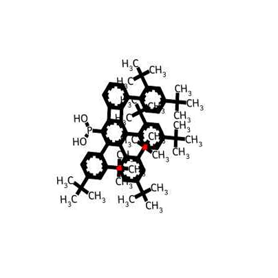 CC(C)(C)c1ccc(-c2cccc3c2-c2c(-c4ccc(C(C)(C)C)cc4C(C)(C)C)c(-c4ccc(C(C)(C)C)cc4C(C)(C)C)c(-c4ccc(C(C)(C)C)cc4C(C)(C)C)c(P(O)O)c2-3)c(C(C)(C)C)c1